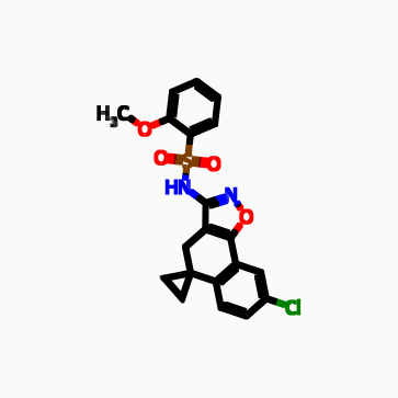 COc1ccccc1S(=O)(=O)Nc1noc2c1CC1(CC1)c1ccc(Cl)cc1-2